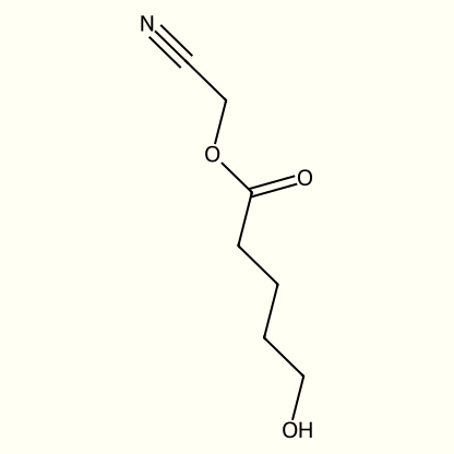 N#CCOC(=O)CCCCO